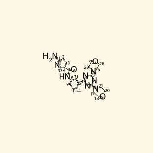 Nc1ccc(C(=O)Nc2cccc(-c3nc(N4CCOCC4)nc(N4CCOCC4)n3)c2)cn1